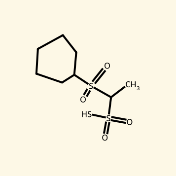 CC(S(=O)(=O)S)S(=O)(=O)C1CCCCC1